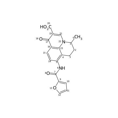 CC1CCc2c(NC(=O)c3ccco3)ccc3c(=O)c(C(=O)O)cn1c23